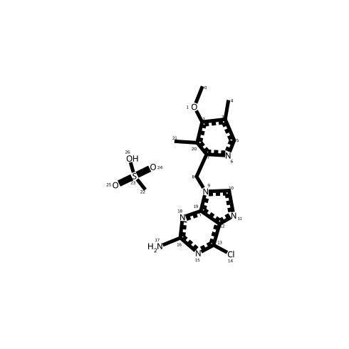 COc1c(C)cnc(Cn2cnc3c(Cl)nc(N)nc32)c1C.CS(=O)(=O)O